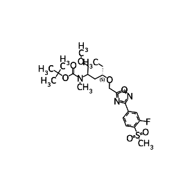 CC[C@@H](CC(COC)N(C)C(=O)OC(C)(C)C)OCc1nc(-c2ccc(S(C)(=O)=O)c(F)c2)no1